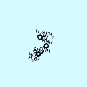 COc1cc(CC(=O)N[C@H]2CC[C@@H](Nc3nc4c(c(N(C)C)n3)CCCC4)CC2)cc(OC)c1O